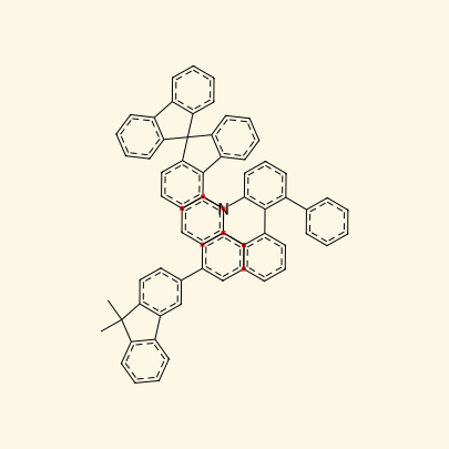 CC1(C)c2ccccc2-c2cc(-c3cccc(N(c4cccc(-c5ccccc5)c4-c4ccccc4-c4ccccc4)c4cccc5c4-c4ccccc4C54c5ccccc5-c5ccccc54)c3)ccc21